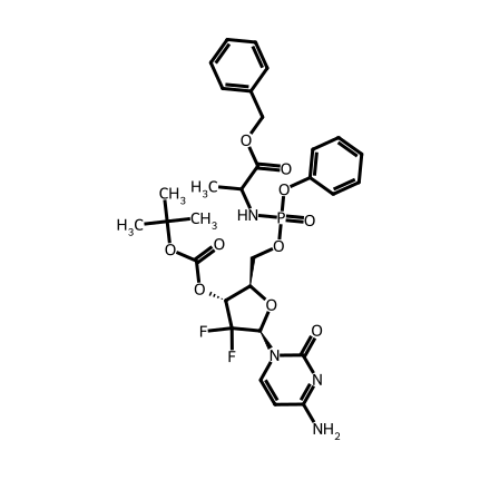 CC(NP(=O)(OC[C@H]1O[C@@H](n2ccc(N)nc2=O)C(F)(F)[C@@H]1OC(=O)OC(C)(C)C)Oc1ccccc1)C(=O)OCc1ccccc1